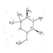 C[C@H]1C(CN)OC(C)(C)[C@@H](N)C1O